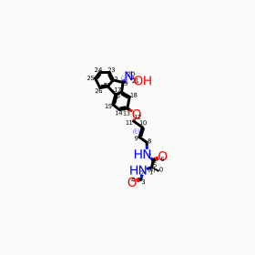 C[C@@H](NC=O)C(=O)NC/C=C/COc1ccc2c(c1)/C(=N\O)c1ccccc1-2